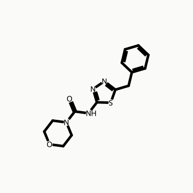 O=C(Nc1nnc(Cc2ccccc2)s1)N1CCOCC1